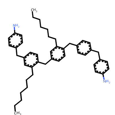 CCCCCCCc1cc(Cc2ccc(N)cc2)ccc1Cc1ccc(Cc2ccc(Cc3ccc(N)cc3)cc2)c(CCCCCCC)c1